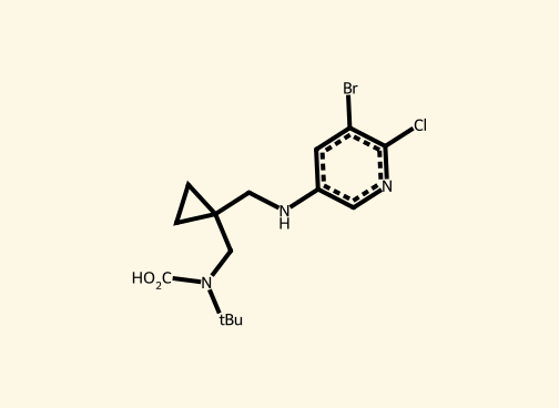 CC(C)(C)N(CC1(CNc2cnc(Cl)c(Br)c2)CC1)C(=O)O